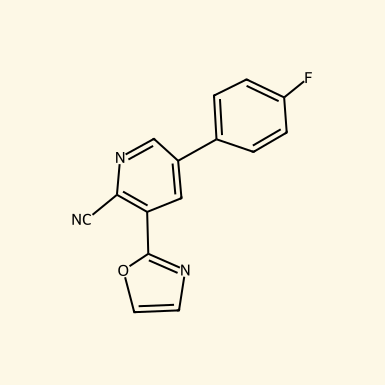 N#Cc1ncc(-c2ccc(F)cc2)cc1-c1ncco1